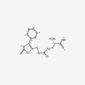 C=C1OC(COC(=O)SC[C@H](N)C(=O)O)=C(c2ccccc2)O1